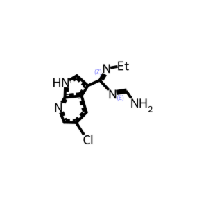 CC/N=C(\N=C\N)c1c[nH]c2ncc(Cl)cc12